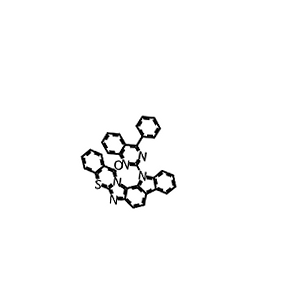 O=c1c2ccccc2sc2nc3ccc4c5ccccc5n(-c5nc(-c6ccccc6)c6ccccc6n5)c4c3n12